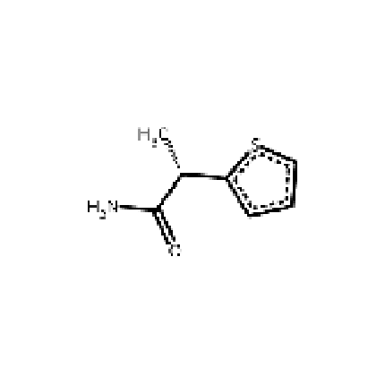 C[C@@H](C(N)=O)c1cccs1